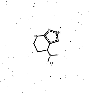 CN(C(=O)O)C1CCNc2n[nH]cc21